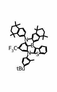 Cc1cc(C(C)(C)C)ccc1N1c2cc(C(F)(F)F)cc3c2B(c2cc4c(cc2N3c2ccc3c(c2)C(C)(C)CCC3(C)C)C(C)(C)CCC4(C)C)c2c1sc1ccccc21